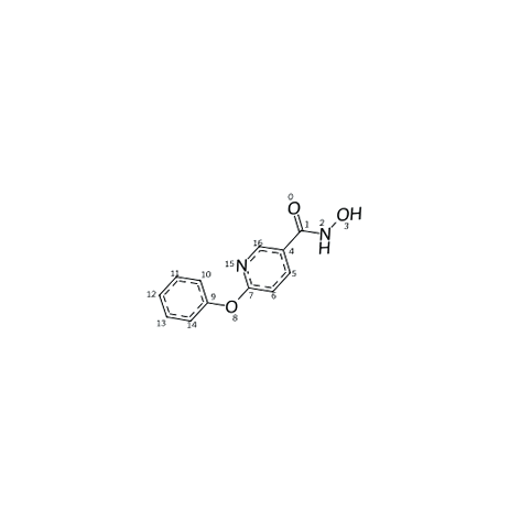 O=C(NO)c1ccc(Oc2ccccc2)nc1